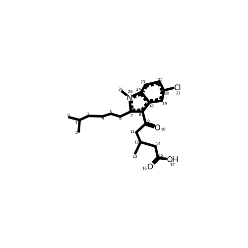 CC(C)CCCCc1c(C(=O)CC(C)CC(=O)O)c2cc(Cl)ccc2n1C